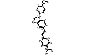 COc1ccc(-n2cnc3cc(C=Cc4ccc(C(C)C)cc4)ccc32)cc1